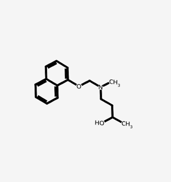 CC(O)CCN(C)COc1cccc2ccccc12